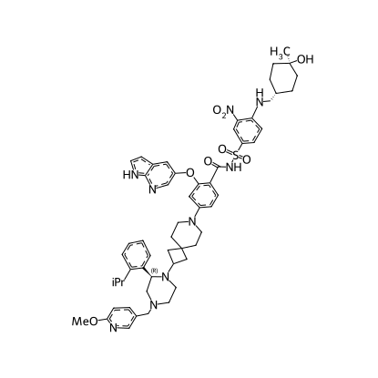 COc1ccc(CN2CCN(C3CC4(CCN(c5ccc(C(=O)NS(=O)(=O)c6ccc(NC[C@H]7CC[C@](C)(O)CC7)c([N+](=O)[O-])c6)c(Oc6cnc7[nH]ccc7c6)c5)CC4)C3)[C@H](c3ccccc3C(C)C)C2)cn1